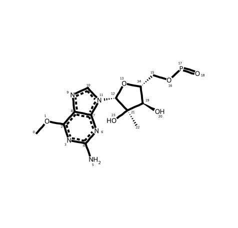 COc1nc(N)nc2c1ncn2[C@@H]1O[C@H](COP=O)[C@@H](O)[C@@]1(C)O